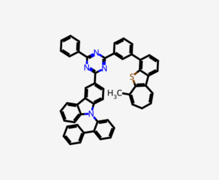 CC1=CCC=Cc2c1sc1c(-c3cccc(-c4nc(-c5ccccc5)nc(-c5ccc6c(c5)c5ccccc5n6-c5ccccc5-c5ccccc5)n4)c3)cccc21